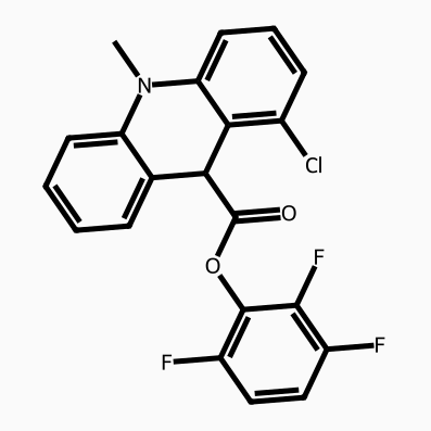 CN1c2ccccc2C(C(=O)Oc2c(F)ccc(F)c2F)c2c(Cl)cccc21